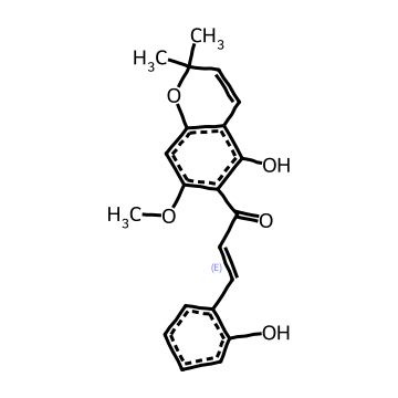 COc1cc2c(c(O)c1C(=O)/C=C/c1ccccc1O)C=CC(C)(C)O2